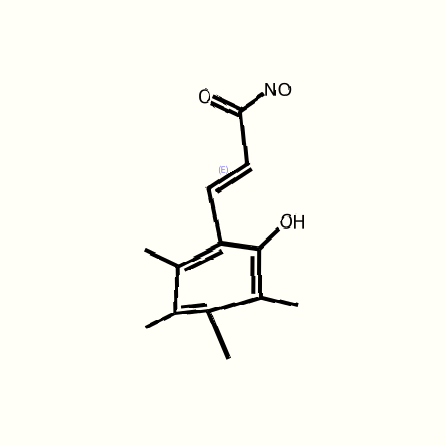 Cc1c(C)c(C)c(/C=C/C(=O)N=O)c(O)c1C